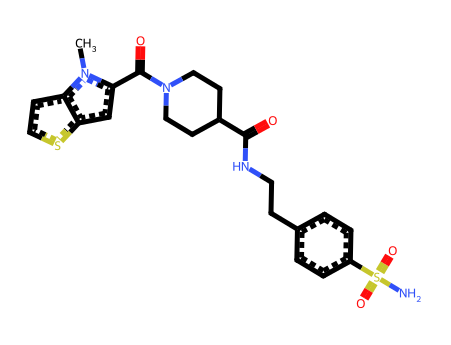 Cn1c(C(=O)N2CCC(C(=O)NCCc3ccc(S(N)(=O)=O)cc3)CC2)cc2sccc21